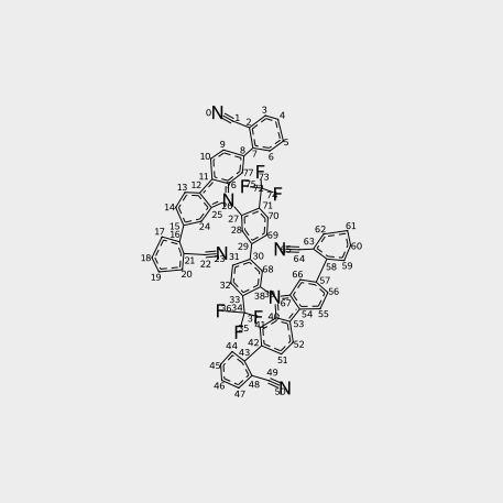 N#Cc1ccccc1-c1ccc2c3ccc(-c4ccccc4C#N)cc3n(-c3cc(-c4ccc(C(F)(F)F)c(-n5c6cc(-c7ccccc7C#N)ccc6c6ccc(-c7ccccc7C#N)cc65)c4)ccc3C(F)(F)F)c2c1